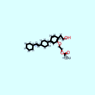 CC(C)(C)C(=O)OCCOc1cc(C2CCC(/C=C/C3CCCCC3)CC2)ccc1CCO